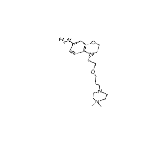 C[N+]1(C)CCN(CCCOCCN2CCOc3cc(N)ccc32)CC1